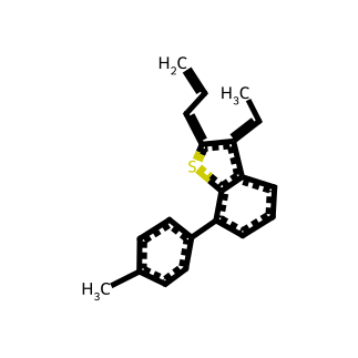 C=C/C=c1/sc2c(-c3ccc(C)cc3)cccc2/c1=C/C